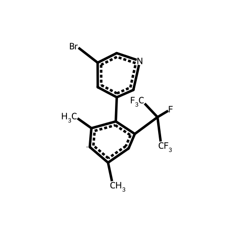 Cc1[c]c(C)c(-c2cncc(Br)c2)c(C(F)(C(F)(F)F)C(F)(F)F)c1